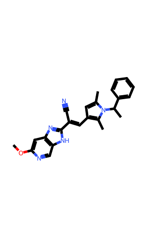 COc1cc2nc(C(C#N)=Cc3cc(C)n(C(C)c4ccccc4)c3C)[nH]c2cn1